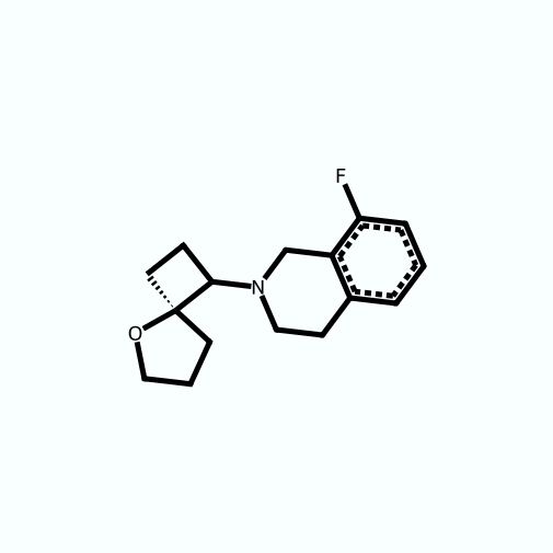 Fc1cccc2c1CN(C1CC[C@@]13CCCO3)CC2